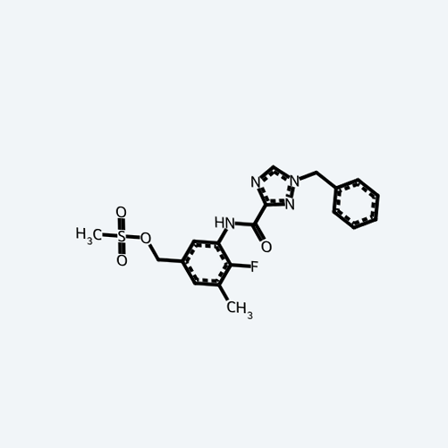 Cc1cc(COS(C)(=O)=O)cc(NC(=O)c2ncn(Cc3ccccc3)n2)c1F